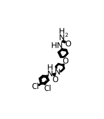 NC(=O)NC1=CCC(OC2CCN(C(=O)Nc3ccc(Cl)c(Cl)c3)CC2)C=C1